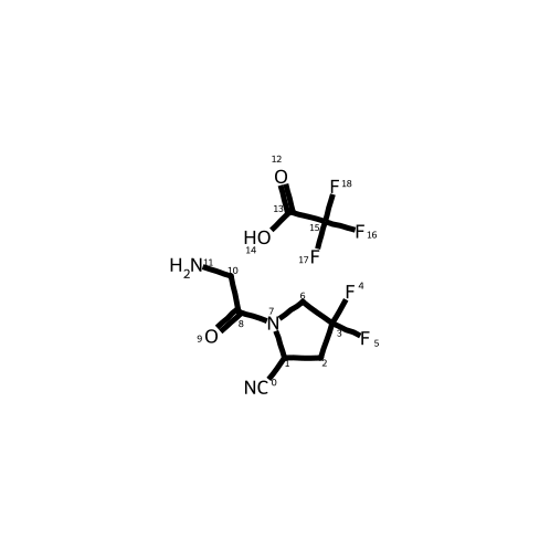 N#CC1CC(F)(F)CN1C(=O)CN.O=C(O)C(F)(F)F